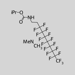 CC(C)OC(=O)NCCC(F)(F)C(F)(F)C(F)(F)C(F)(F)C(F)(F)C(F)(F)C(F)(F)C(F)(F)F.CNC